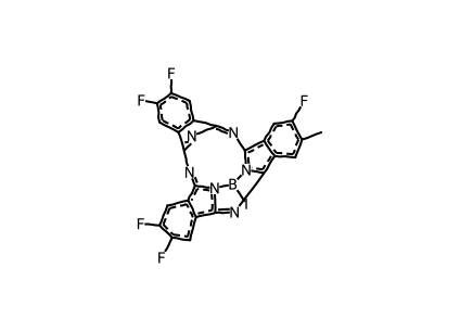 Cc1cc2c3n4c(c2cc1F)/N=C1N=C(/N=c2/c5cc(F)c(F)cc5c(n2B4I)=N3)c2cc(F)c(F)cc2\1